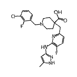 Cc1cc(Nc2nc(CC3(C(=O)O)CCN(Cc4cccc(Cl)c4F)CC3)ccc2F)n[nH]1